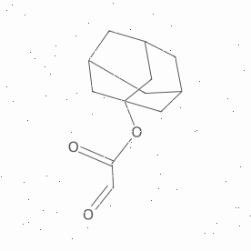 O=CC(=O)OC12CC3CC(CC(C3)C1)C2